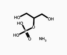 N.O=P(O)(O)OC(CO)CO